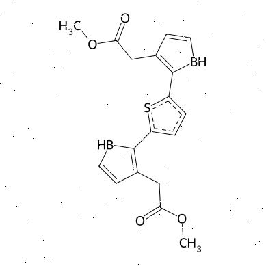 COC(=O)CC1=C(c2ccc(C3=C(CC(=O)OC)C=CB3)s2)BC=C1